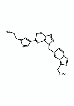 COCc1ccn2ccc(Cn3nnc4ncc(-c5cnn(CCO)c5)nc43)cc12